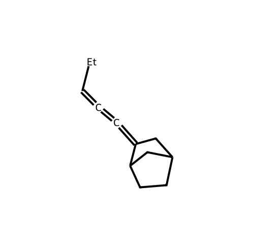 CCC=C=C=C1CC2CCC1C2